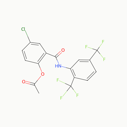 CC(=O)Oc1ccc(Cl)cc1C(=O)Nc1cc(C(F)(F)F)ccc1C(F)(F)F